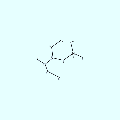 CCC(C)C(CC)CN(C)C